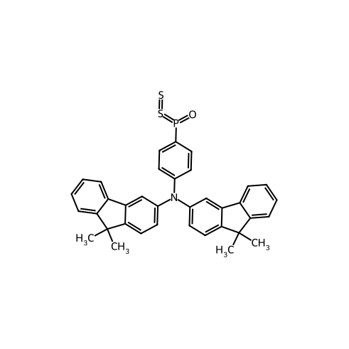 CC1(C)c2ccccc2-c2cc(N(c3ccc(P(=O)=S=S)cc3)c3ccc4c(c3)-c3ccccc3C4(C)C)ccc21